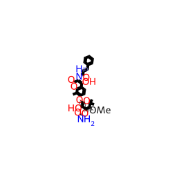 CO[C@@H]1[C@@H](OC(N)=O)[C@@H](O)[C@H](Oc2ccc3c(O)c(NC(=O)/C=C/c4ccccc4)c(=O)oc3c2C)OC1(C)C